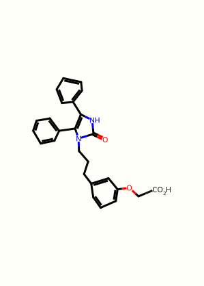 O=C(O)COc1cccc(CCCn2c(-c3ccccc3)c(-c3ccccc3)[nH]c2=O)c1